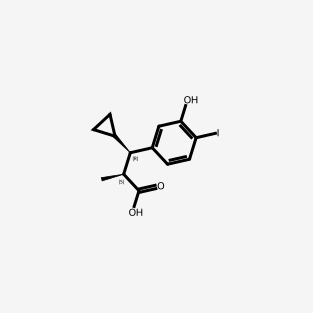 C[C@H](C(=O)O)[C@H](c1ccc(I)c(O)c1)C1CC1